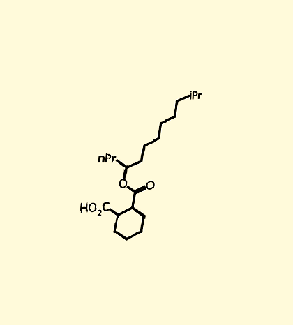 CCCC(CCCCCCC(C)C)OC(=O)C1CCCCC1C(=O)O